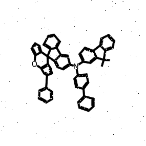 CC1(C)c2ccccc2-c2ccc(N(c3ccc(-c4ccccc4)cc3)c3ccc4c(c3)-c3ccccc3C43c4ccccc4Oc4cc(-c5ccccc5)ccc43)cc21